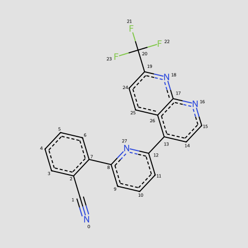 N#Cc1ccccc1-c1cccc(-c2ccnc3nc(C(F)(F)F)ccc23)n1